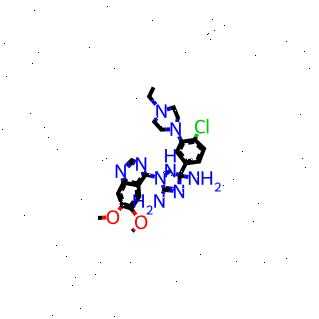 CCN1CCN(c2cc(C3(N)N=C(N)N(c4ncnc5cc(OC)c(OC)cc45)N3)ccc2Cl)CC1